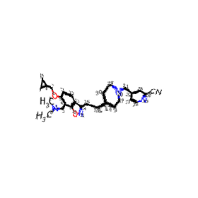 CN(C)Cc1c(OCC2CC2)ccc2c(CCC3CCN(Cc4ccnc(C#N)c4)CC3)noc12